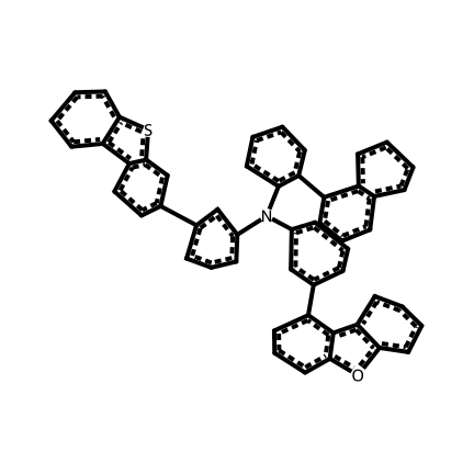 c1cc(-c2ccc3c(c2)sc2ccccc23)cc(N(c2cccc(-c3cccc4oc5ccccc5c34)c2)c2ccccc2-c2cccc3ccccc23)c1